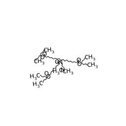 CCCCC(CCCC)OC(=O)CCCCCCCCC(CCCCCCCCC(=O)OC(CCCC)CCCC)N(CCCN(C)C)C(=O)CCCCCCCC(=O)OC(CCCC)CCCC